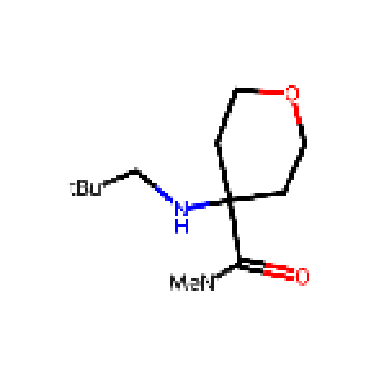 CNC(=O)C1(NCC(C)(C)C)CCOCC1